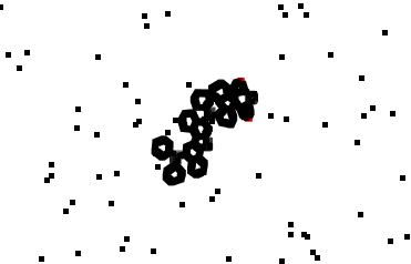 c1ccc(N(c2ccccc2)c2cc3c(sc4cc(N(c5ccccc5)c5cccc6c5-c5ccccc5C65c6ccccc6Oc6ccccc65)c5ccccc5c43)c3ccccc23)cc1